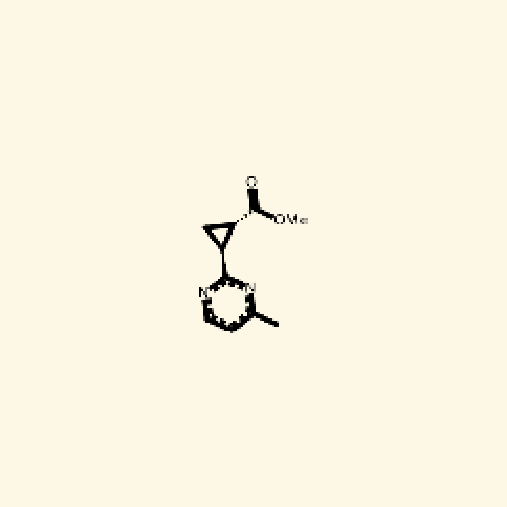 COC(=O)[C@H]1C[C@@H]1c1nccc(C)n1